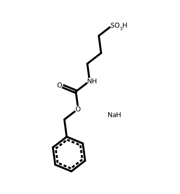 O=C(NCCCS(=O)(=O)O)OCc1ccccc1.[NaH]